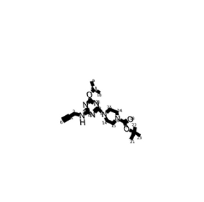 C#CCNc1nc(ON(C)C)nc(N2CCN(C(=O)OC(C)(C)C)CC2)n1